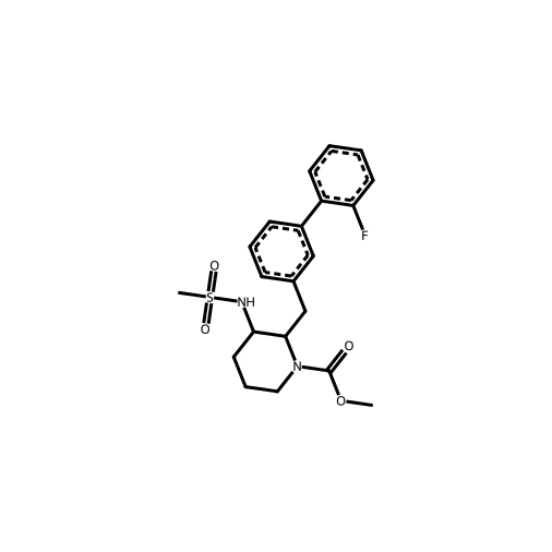 COC(=O)N1CCCC(NS(C)(=O)=O)C1Cc1cccc(-c2ccccc2F)c1